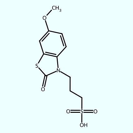 COc1ccc2c(c1)sc(=O)n2CCCS(=O)(=O)O